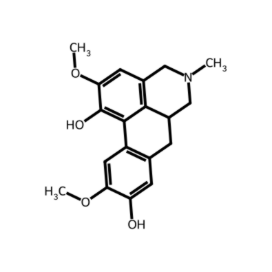 COc1cc2c(cc1O)CC1CN(C)Cc3cc(OC)c(O)c-2c31